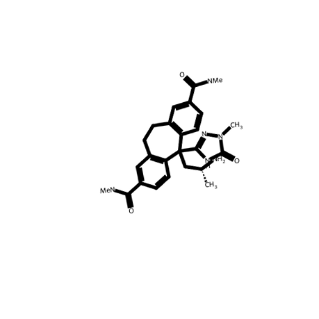 CNC(=O)c1ccc2c(c1)CCc1cc(C(=O)NC)ccc1C2(C[C@@H](C)N)c1nn(C)c(=O)[nH]1